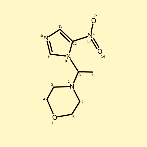 CC(N1CCOCC1)n1cncc1[N+](=O)[O-]